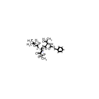 CC(C)[C@H](NC(=O)OCc1ccccc1)C(=O)N[C@H](/C=C(\Cl)S(C)(=O)=O)CC(=O)OC(C)(C)C